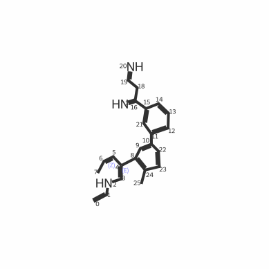 C=CN/C=C(\C=C/C)c1cc(-c2cccc(C(=N)CC=N)c2)ccc1C